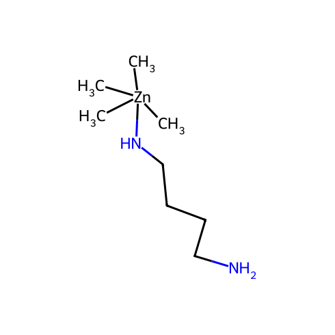 [CH3][Zn]([CH3])([CH3])([CH3])[NH]CCCCN